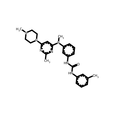 Cc1cccc(NC(=O)Nc2cccc(N(C)c3cc(N4CCN(C)CC4)nc(C)n3)c2)c1